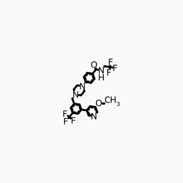 CCOc1cncc(-c2cc(CN3CCN(c4ccc(C(=O)NCC(F)(F)F)cc4)CC3)cc(C(F)(F)F)c2)c1